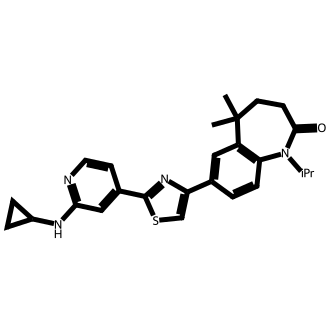 CC(C)N1C(=O)CCC(C)(C)c2cc(-c3csc(-c4ccnc(NC5CC5)c4)n3)ccc21